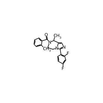 Cc1ccccc1C(=O)N1CCn2c(cnc2-c2ccc(F)cc2F)C1C